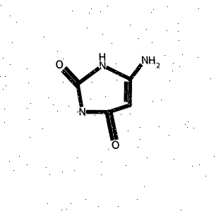 NC1=CC(=O)[N]C(=O)N1